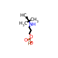 C#CC(C)(C)NCCCO[SH](=O)=O